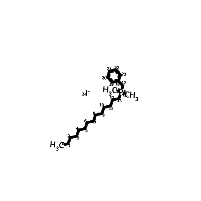 CCCCCCCCCCCCCC[P+](C)(C)Cc1ccccc1.[I-]